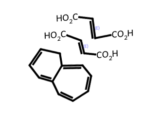 C1=CC=C2CC=CC=C2C=C1.O=C(O)/C=C/C(=O)O.O=C(O)/C=C/C(=O)O